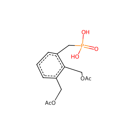 CC(=O)OCc1cccc(CP(=O)(O)O)c1COC(C)=O